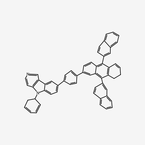 C1=CCC(n2c3ccncc3c3cc(-c4ccc(-c5ccc6c(-c7ccc8ccccc8c7)c7c(c(-c8ccc9ccccc9c8)c6c5)CCC=C7)cc4)ccc32)C=C1